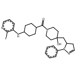 O=C(C1CCC(Nc2cccnc2F)CC1)N1CCC(O)(CC2CC=NN2c2ccccc2)CC1